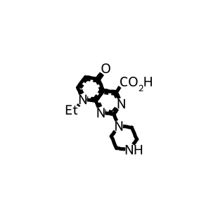 CCn1ccc(=O)c2c(C(=O)O)nc(N3CCNCC3)nc21